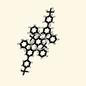 CC(C)(C)c1ccc(-c2cc3c4c(c2)N(c2ccccc2)c2c(c(C(C)(C)C)c5c(c2C(C)(C)C)B2c6ccccc6-c6cc(-c7ccc(C(C)(C)C)cc7)cc(c62)N5c2ccccc2)B4c2ccccc2-3)cc1